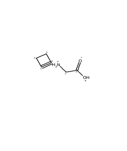 C1#CCC1.NCC(=O)O